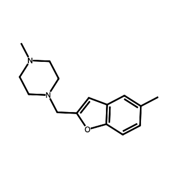 Cc1ccc2oc(CN3CCN(C)CC3)cc2c1